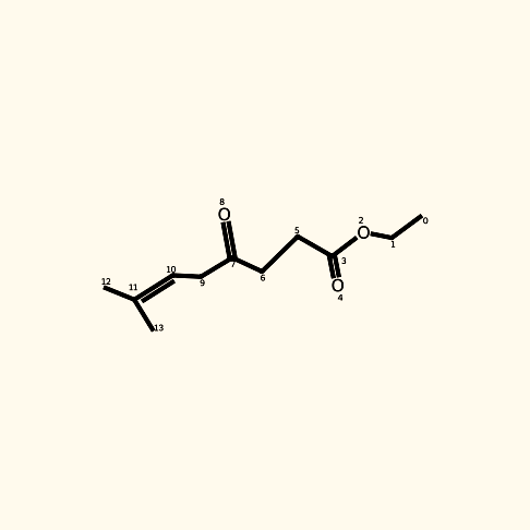 CCOC(=O)CCC(=O)CC=C(C)C